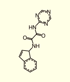 O=C(Nc1ncncn1)C(=O)NC1C=Cc2ccccc21